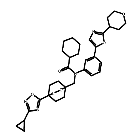 O=C(C1CCCCC1)N(CC12CCC(c3nc(C4CC4)no3)(CC1)CC2)c1cccc(-c2cnc(C3CCOCC3)o2)c1